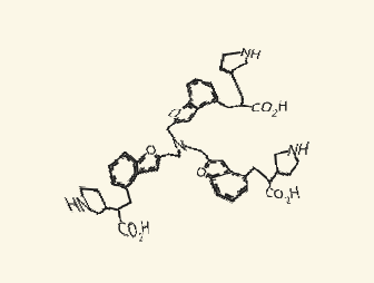 O=C(O)C(Cc1cccc2oc(CN(Cc3cc4c(CC(C(=O)O)C5CCNC5)cccc4o3)Cc3cc4c(CC(C(=O)O)C5CCNC5)cccc4o3)cc12)C1CCNC1